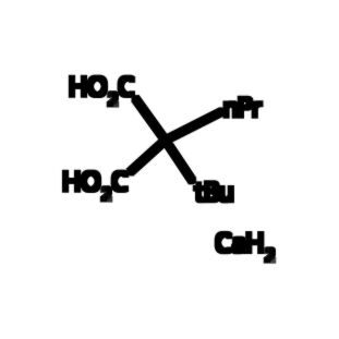 CCCC(C(=O)O)(C(=O)O)C(C)(C)C.[CaH2]